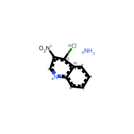 N.O=[N+]([O-])c1cnc2ccccc2c1Cl